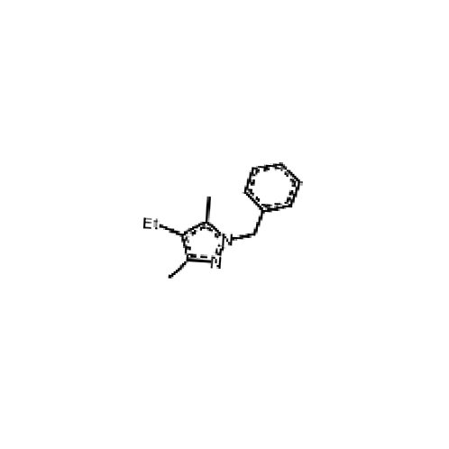 CCc1c(C)nn(Cc2ccccc2)c1C